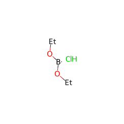 CCO[B]OCC.Cl